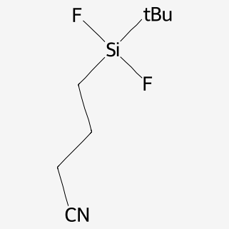 CC(C)(C)[Si](F)(F)CCCC#N